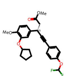 COC(=O)C[C@H](C#Cc1ccc(OC(F)F)cc1)c1ccc(OC)c(OC2CCCC2)c1